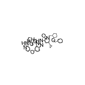 CC(=O)Nc1cc(Oc2ccc3nc(Nc4cc(C5CC5)cn(CC5CCC[C@H]5OCc5ccccc5)c4=O)n(C)c3c2)ccn1